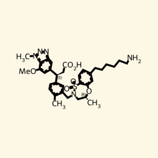 COc1cc([C@@H](CC(=O)O)c2ccc(C)c(CN3C[C@@H](C)Oc4cc(CCCCCCN)ccc4S3(=O)=O)c2)cc2nnn(C)c12